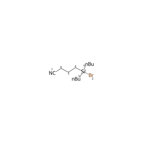 CCCC[Si](Br)(CCCC)CCCC#N